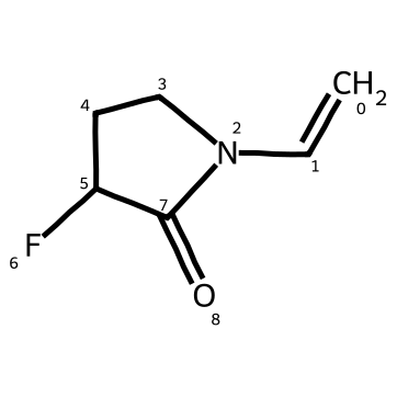 C=CN1CCC(F)C1=O